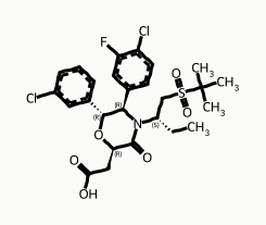 CC[C@@H](CS(=O)(=O)C(C)(C)C)N1C(=O)[C@@H](CC(=O)O)O[C@H](c2cccc(Cl)c2)[C@H]1c1ccc(Cl)c(F)c1